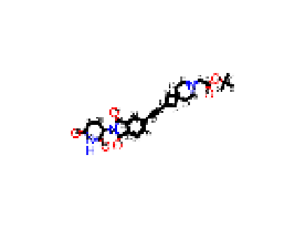 CC(C)(C)OC(=O)CN1CCC2(CC1)CC(C#Cc1ccc3c(c1)C(=O)N(C1CCC(=O)NC1=O)C3=O)C2